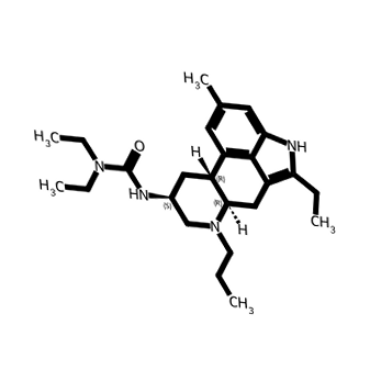 CCCN1C[C@@H](NC(=O)N(CC)CC)C[C@@H]2c3cc(C)cc4[nH]c(CC)c(c34)C[C@H]21